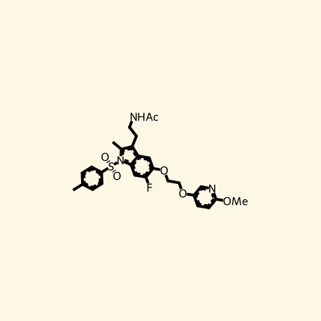 COc1ccc(OCCOc2cc3c(CCNC(C)=O)c(C)n(S(=O)(=O)c4ccc(C)cc4)c3cc2F)cn1